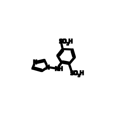 O=S(=O)(O)c1ccc(S(=O)(=O)O)c(Nn2ccnc2)c1